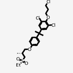 CCS(=O)(=O)C[C@H](C)COc1ccc(C(C)(C)c2cc(Cl)c(OCCCCl)c(Cl)c2)cc1